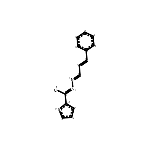 Cl/C(=N\N=CC=Cc1ccccc1)c1cccs1